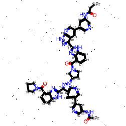 CC(C)CC(=O)Nc1cncc(-c2cnc3[nH]nc(-c4nc5c(C(=O)N6CCC(n7nc(-c8nc9c(C(=O)N%10CCCC%10)cccc9[nH]8)c8cc(-c9cncc(NC(=O)C(C)C)c9)cnc87)C6)cccc5[nH]4)c3c2)c1